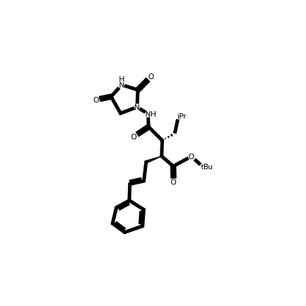 CC(C)C[C@@H](C(=O)NN1CC(=O)NC1=O)[C@H](CC=Cc1ccccc1)C(=O)OC(C)(C)C